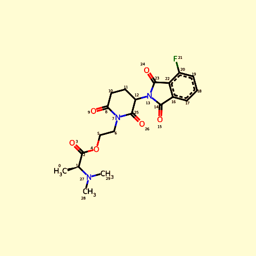 C[C@@H](C(=O)OCCN1C(=O)CCC(N2C(=O)c3cccc(F)c3C2=O)C1=O)N(C)C